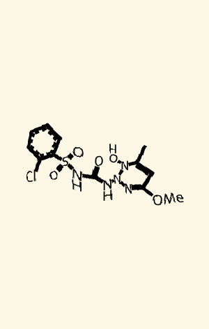 COC1=NN(NC(=O)NS(=O)(=O)c2ccccc2Cl)N(O)C(C)=C1